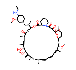 C=C1[C@H](C)C[C@H](C)/C=C/C=C/C=C(\C)[C@@H](OC)CC2CC[C@@H](C)[C@@](O)(O2)C(=O)C(=O)N2CCCCC2C(=O)O[C@H]([C@H](C)C[C@@H]2CCC(NCC)[C@H](OC)C2)CC(=O)[C@H](C)/C=C(\C)[C@@H](O)[C@H]1OC